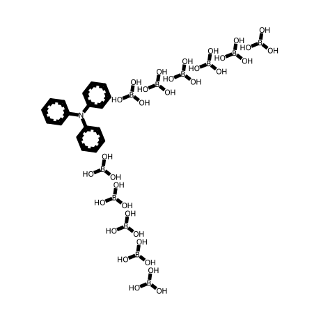 OB(O)O.OB(O)O.OB(O)O.OB(O)O.OB(O)O.OB(O)O.OB(O)O.OB(O)O.OB(O)O.OB(O)O.OB(O)O.c1ccc(N(c2ccccc2)c2ccccc2)cc1